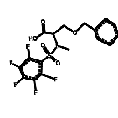 CN(C(COCc1ccccc1)C(=O)O)S(=O)(=O)c1c(F)c(F)c(F)c(F)c1F